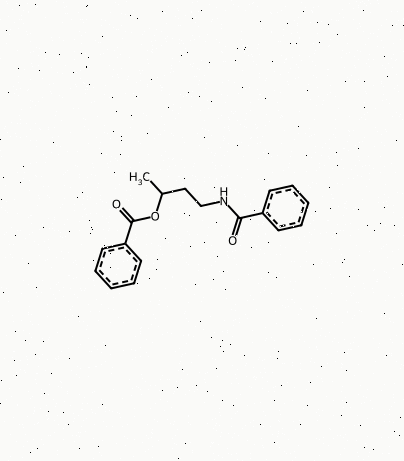 CC(CCNC(=O)c1ccccc1)OC(=O)c1ccccc1